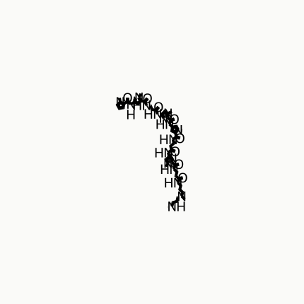 CNCCCN(C)CCCNC(=O)CCNC(=O)c1nc(NC(=O)CCNC(=O)c2cc(NC(=O)c3nc(NC(=O)CCNC(=O)c4cc(NC(=O)c5cccn5C)cn4C)cn3C)cn2C)cn1C